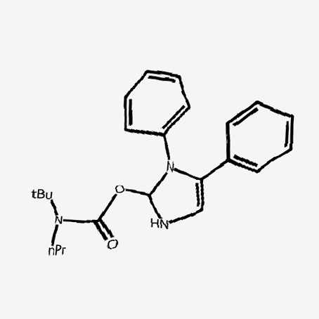 CCCN(C(=O)OC1NC=C(c2ccccc2)N1c1ccccc1)C(C)(C)C